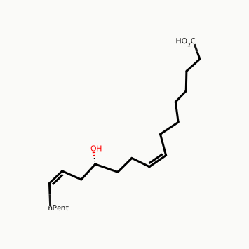 CCCCC/C=C\C[C@H](O)CC/C=C\CCCCCCC(=O)O